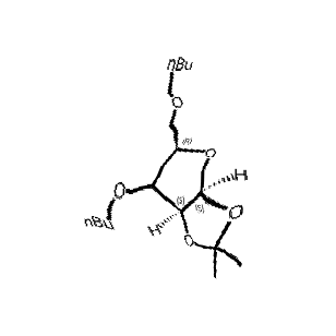 CCCCOC[C@H]1O[C@H]2OC(C)(C)O[C@H]2C1OCCCC